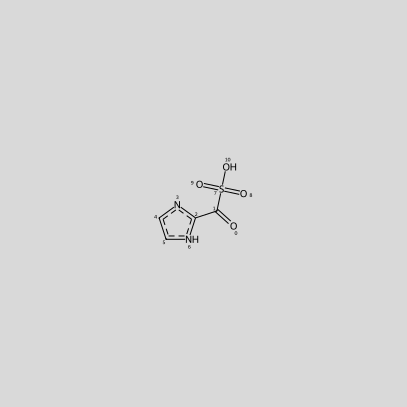 O=C(c1ncc[nH]1)S(=O)(=O)O